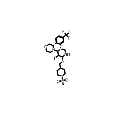 CS(=O)(=O)N1CCC(CNC2NCNC(N3CCOC[C@@H]3c3ccc(C(F)(F)F)cc3)C2F)CC1